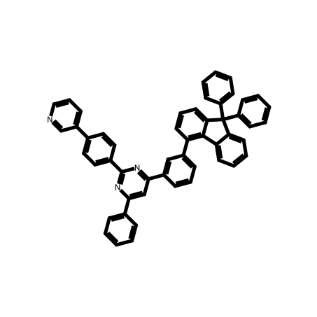 c1ccc(-c2cc(-c3cccc(-c4cccc5c4-c4ccccc4C5(c4ccccc4)c4ccccc4)c3)nc(-c3ccc(-c4cccnc4)cc3)n2)cc1